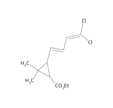 CCOC(=O)C1C(C=CC=C(Cl)Cl)C1(C)C